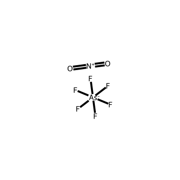 F[As-](F)(F)(F)(F)F.O=[N+]=O